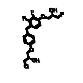 O[C@H](CCl)COc1ccc(Cc2ccc(OC[C@H](O)CF)c(F)c2F)cc1